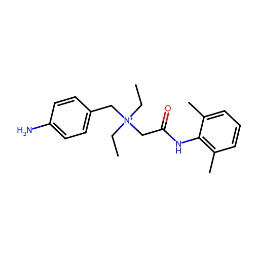 CC[N+](CC)(CC(=O)Nc1c(C)cccc1C)Cc1ccc(N)cc1